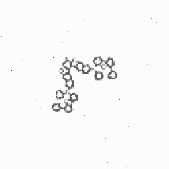 Cc1cc2oc3cc4cc(N(c5ccccc5)c5cccc6c5oc5c(-c7ccccc7)cccc56)ccc4cc3c2c2c1oc1cc3cc(N(c4ccccc4)c4cccc5c4oc4c(-c6ccccc6)cccc45)ccc3cc12